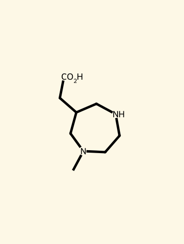 CN1CCNCC(CC(=O)O)C1